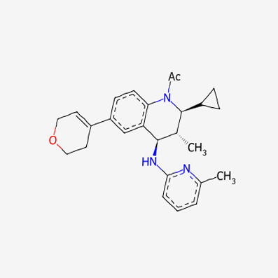 CC(=O)N1c2ccc(C3=CCOCC3)cc2[C@H](Nc2cccc(C)n2)[C@@H](C)[C@@H]1C1CC1